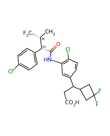 C[C@H]([C@H](C(=O)Nc1cc(C(CC(=O)O)C2CC(F)(F)C2)ccc1Cl)c1ccc(Cl)cc1)C(F)(F)F